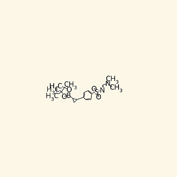 CN(C)C=NS(=O)(=O)c1ccc(C2CC2B2OC(C)(C)C(C)(C)O2)cc1